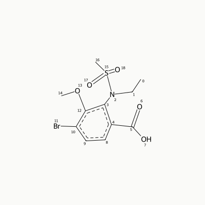 CCN(c1c(C(=O)O)ccc(Br)c1OC)S(C)(=O)=O